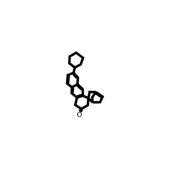 O=C1Cc2cc3ccc(C4CCCCC4)cc3cc2C2(C1)CC1=CCC2C1